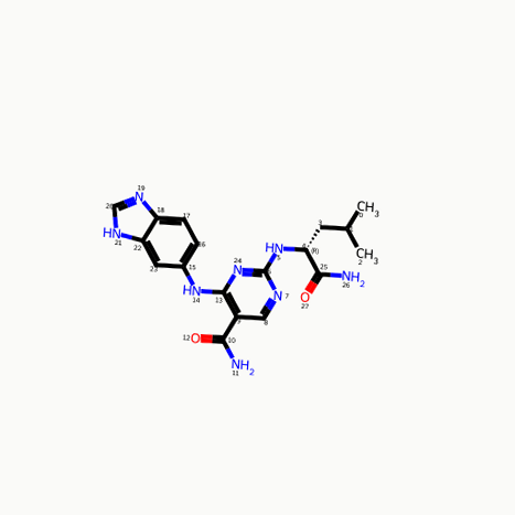 CC(C)C[C@@H](Nc1ncc(C(N)=O)c(Nc2ccc3nc[nH]c3c2)n1)C(N)=O